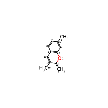 C=C1Oc2cc(C)ccc2C=C1C